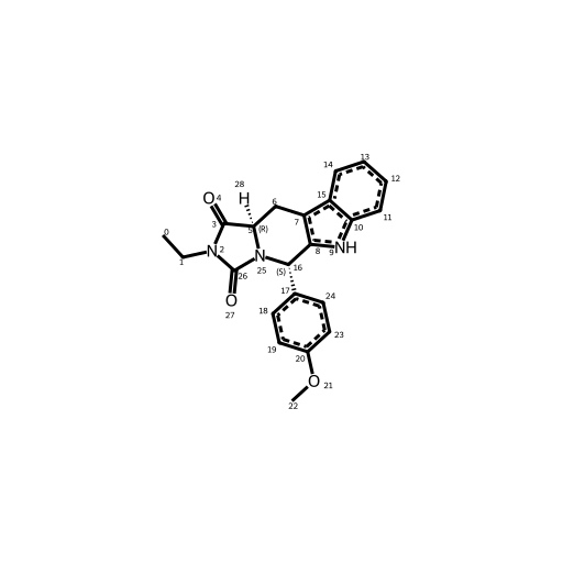 CCN1C(=O)[C@H]2Cc3c([nH]c4ccccc34)[C@H](c3ccc(OC)cc3)N2C1=O